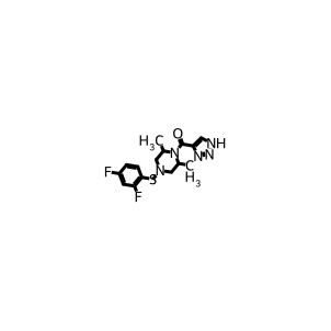 CC1CN(Sc2ccc(F)cc2F)CC(C)N1C(=O)c1c[nH]nn1